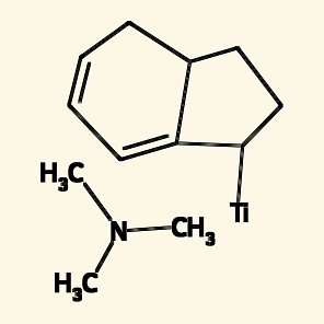 CN(C)C.[Ti][CH]1CCC2CC=CC=C12